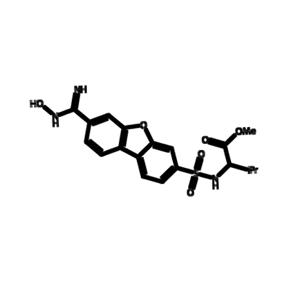 COC(=O)C(NS(=O)(=O)c1ccc2c(c1)oc1cc(C(=N)NO)ccc12)C(C)C